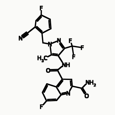 Cc1c(NC(=O)c2cc(C(N)=O)nc3cc(F)ccc23)c(C(F)(F)F)nn1Cc1ccc(F)cc1C#N